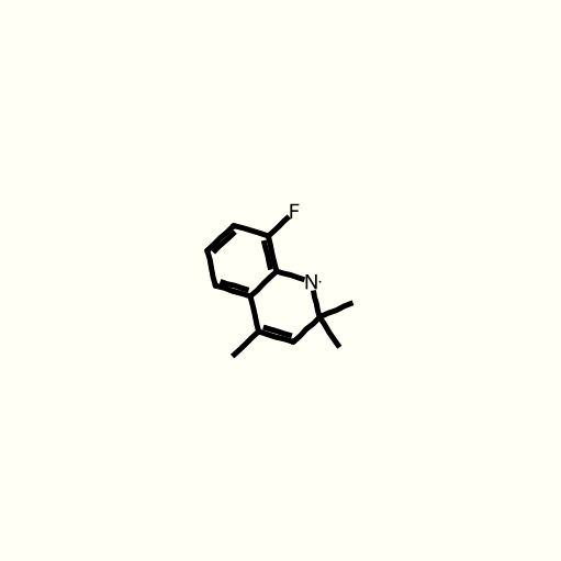 CC1=CC(C)(C)[N]c2c(F)cccc21